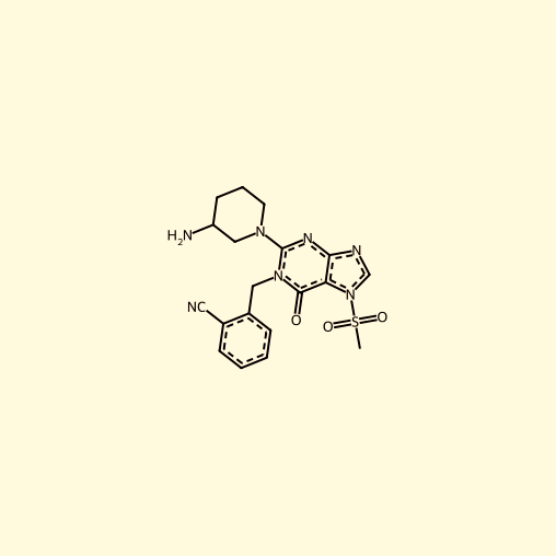 CS(=O)(=O)n1cnc2nc(N3CCCC(N)C3)n(Cc3ccccc3C#N)c(=O)c21